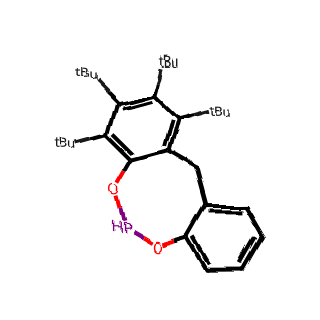 CC(C)(C)c1c2c(c(C(C)(C)C)c(C(C)(C)C)c1C(C)(C)C)OPOc1ccccc1C2